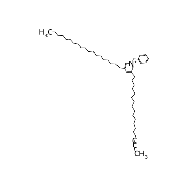 CCCCCCCCCCCCCCCCCCCc1cc(CCCCCCCCCCCCCCCCCCC)c[n+](Cc2ccccc2)c1